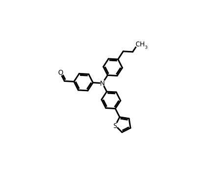 CCCc1ccc(N(c2ccc(C=O)cc2)c2ccc(-c3cccs3)cc2)cc1